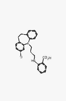 O=C(O)c1ccccc1NCCCN1c2ccccc2CCc2ccc(Cl)cc21